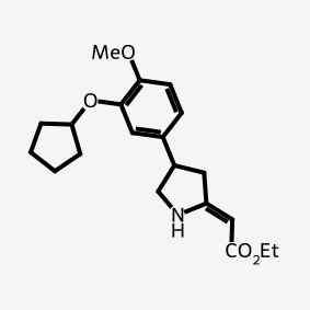 CCOC(=O)/C=C1/CC(c2ccc(OC)c(OC3CCCC3)c2)CN1